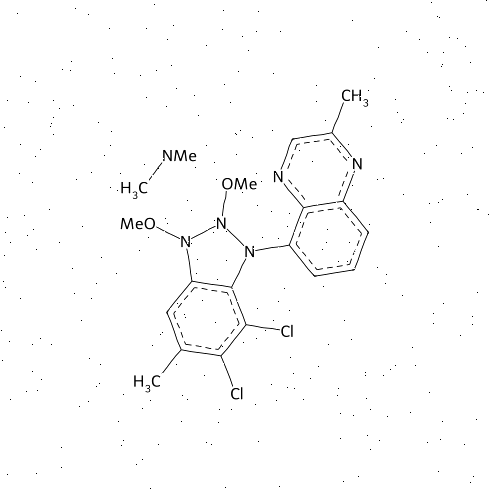 CNC.CON1c2cc(C)c(Cl)c(Cl)c2N(c2cccc3nc(C)cnc23)N1OC